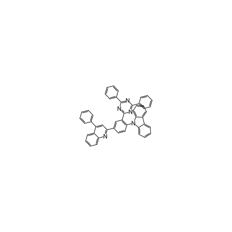 c1ccc(-c2nc(-c3ccccc3)nc(-c3cc(-c4cc(-c5ccccc5)c5ccccc5n4)ccc3-n3c4ccccc4c4ccccc43)n2)cc1